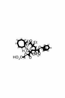 CCC1(OC(=O)C(C)(CC)CC(C)(CC(C)(C)C(=O)OCC(=O)O)C(=O)OC2CC3CCC2C3)CCCCCCC1